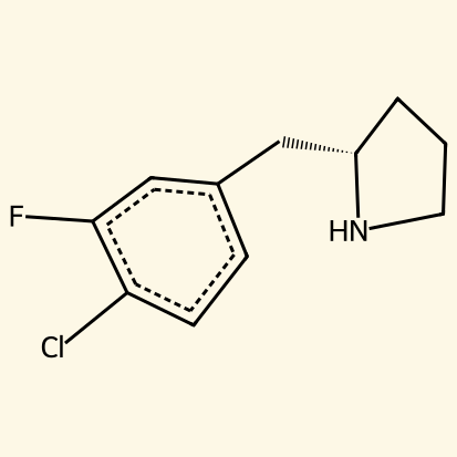 Fc1cc(C[C@@H]2CCCN2)ccc1Cl